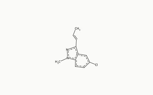 CC=Cc1nn(C)c2ccc(Cl)cc12